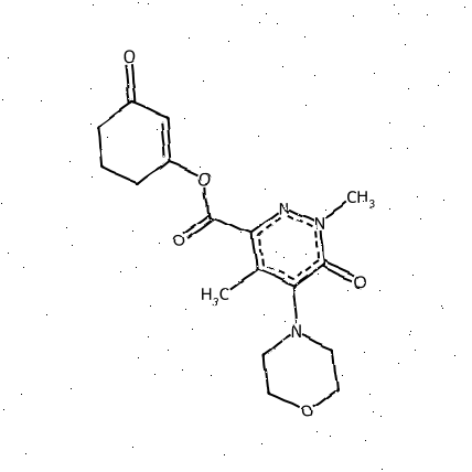 Cc1c(C(=O)OC2=CC(=O)CCC2)nn(C)c(=O)c1N1CCOCC1